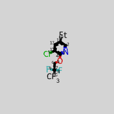 CCc1cnc(OCC(F)(F)C(F)(F)F)c(Cl)c1